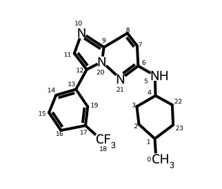 CC1CCC(Nc2ccc3ncc(-c4cccc(C(F)(F)F)c4)n3n2)CC1